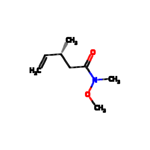 C=C[C@H](C)CC(=O)N(C)OC